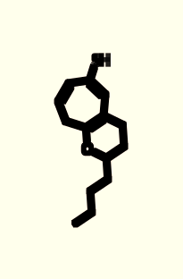 CCCCC1CCC2=C(CC=CC(S)=C2)O1